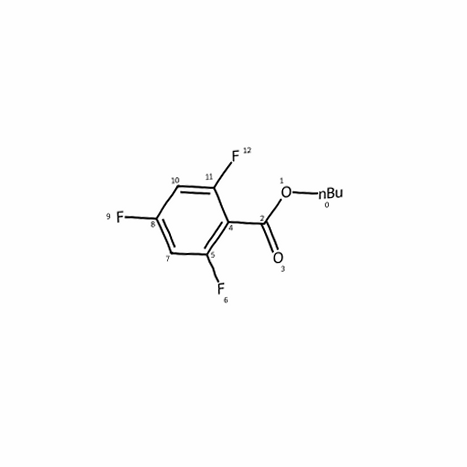 CCCCOC(=O)c1c(F)cc(F)cc1F